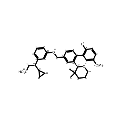 COc1ccc(F)c(-c2ccc(COc3cccc([C@H](CC(=O)O)C4CC4)c3)cc2[C@H]2OCCCC2(C)C)c1